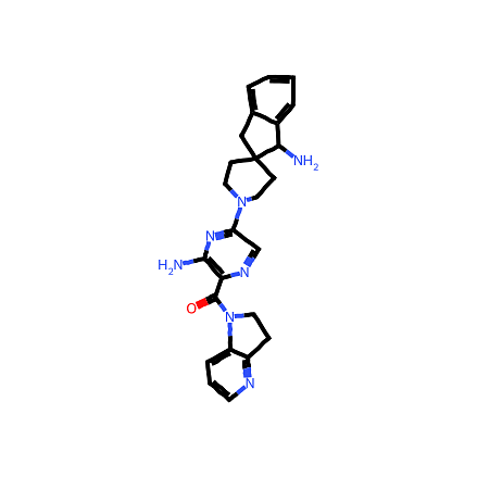 Nc1nc(N2CCC3(CC2)Cc2ccccc2C3N)cnc1C(=O)N1CCc2ncccc21